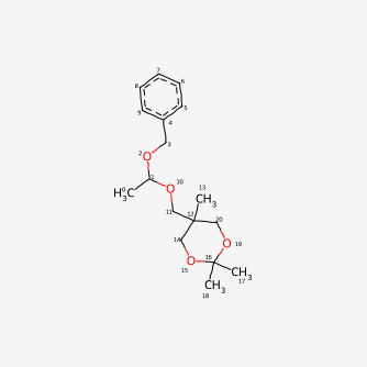 CC(OCc1ccccc1)OCC1(C)COC(C)(C)OC1